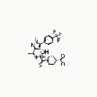 C/C(=N/NC(=S)N1CCC(C(=O)O)CC1)c1nn(C)c(-c2ccc(C(F)(F)F)cc2)c1O